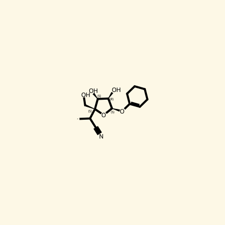 [CH2]C(C#N)[C@@]1(CO)O[C@H](OC2=CCCCC2)[C@H](O)[C@@H]1O